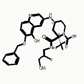 CC(C)(C)[C@]1(C(=O)NCC(F)CO)C[C@@H](Nc2cnc3ccc(OCc4ccccc4)c(O)c3c2)CCN1C(=O)O